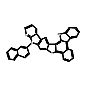 c1ccc2cc(-n3c4cc5sc6c7ccccc7c7c8ccccc8[nH]c7c6c5cc4c4cccnc43)ccc2c1